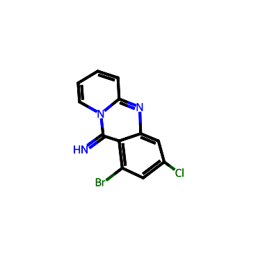 N=c1c2c(Br)cc(Cl)cc2nc2ccccn12